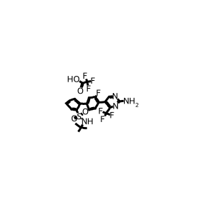 CC(C)(C)NS(=O)(=O)c1ccccc1-c1ccc(-c2cnc(N)nc2C(F)(F)F)c(F)c1.O=C(O)C(F)(F)F